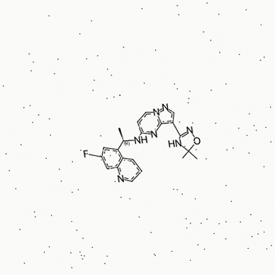 C[C@@H](Nc1ccn2ncc(C3=NOC(C)(C)N3)c2n1)c1cc(F)cc2ncccc12